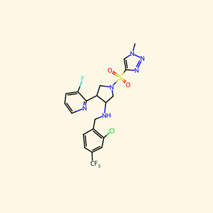 Cn1cc(S(=O)(=O)N2CC(NCc3ccc(C(F)(F)F)cc3Cl)C(c3ncccc3F)C2)nn1